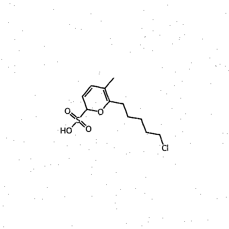 CC1=C(CCCCCCl)OC(S(=O)(=O)O)C=C1